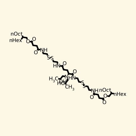 CCCCCCCCC(CCCCCC)COC(=O)CCC(=O)NCCSSCCNC(=O)CCC(C(=O)NCCSSCCNC(=O)CCC(=O)OCC(CCCCCC)CCCCCCCC)N(CC(C)O)CC(C)O